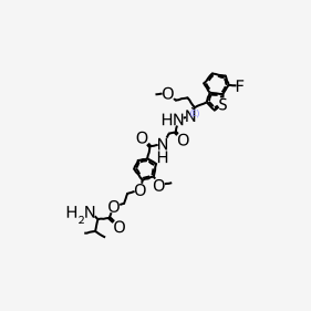 COCC/C(=N\NC(=O)CNC(=O)c1ccc(OCCOC(=O)C(N)C(C)C)c(OC)c1)c1csc2c(F)cccc12